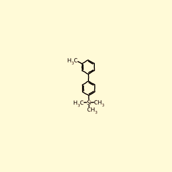 Cc1cccc(-c2ccc([Si](C)(C)C)cc2)c1